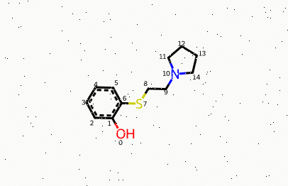 Oc1ccccc1SCCN1CCCC1